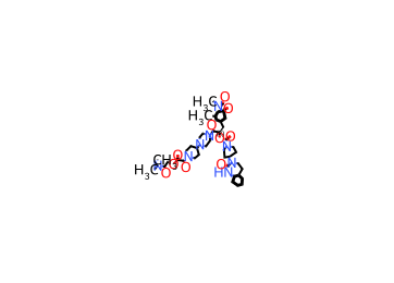 Cc1cc(C[C@@H](OC(=O)N2CCC(N3CCc4ccccc4NC3=O)CC2)C(=O)N2CCN(C3CCN(C(=O)C(=O)OCC(=O)N(C)C)CC3)CC2)cc2oc(=O)n(C)c12